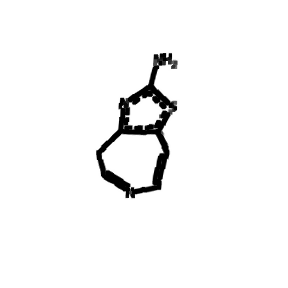 Nc1nc2c(s1)C=CN=CC2